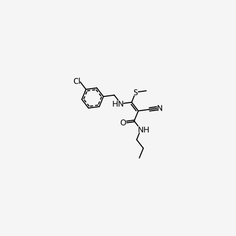 CCCNC(=O)C(C#N)=C(NCc1cccc(Cl)c1)SC